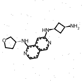 N[C@H]1C[C@@H](Nc2cc3c(N[C@@H]4CCOC4)nccc3cn2)C1